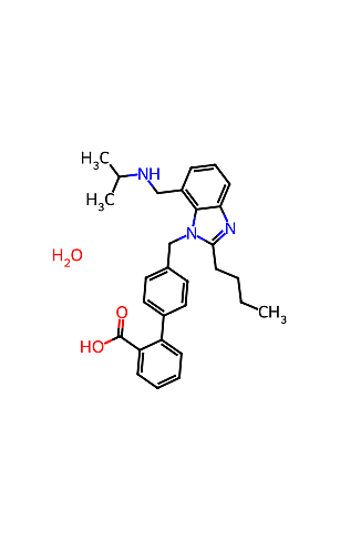 CCCCc1nc2cccc(CNC(C)C)c2n1Cc1ccc(-c2ccccc2C(=O)O)cc1.O